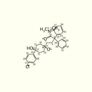 CN(C)C(=O)C(CC[N@+]1([O-])CC[C@@](O)(c2ccc(Cl)cc2)CC1)(c1ccccc1)c1ccccc1